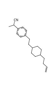 C=CCCC1CCC(CCc2ccc(C(C)C#N)cc2)CC1